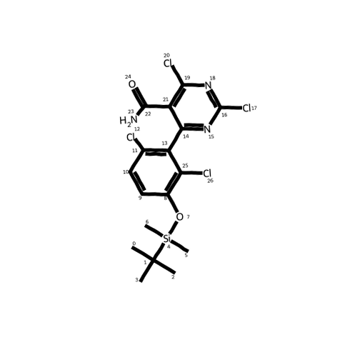 CC(C)(C)[Si](C)(C)Oc1ccc(Cl)c(-c2nc(Cl)nc(Cl)c2C(N)=O)c1Cl